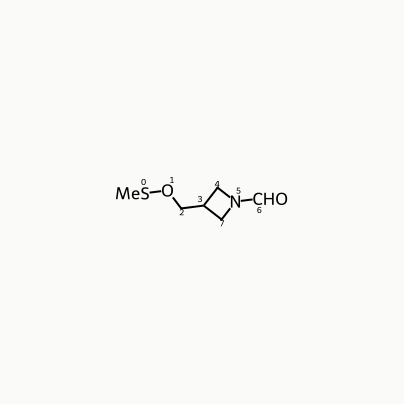 CSOCC1CN(C=O)C1